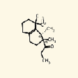 CCC(=O)[C@]1(C)CCC2=C([C@@H]1C)C(C)(C)CCC2